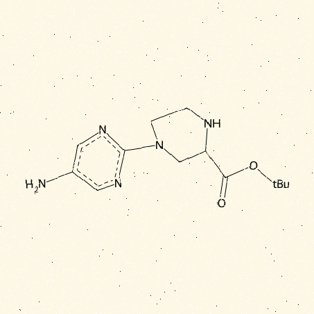 CC(C)(C)OC(=O)C1CN(c2ncc(N)cn2)CCN1